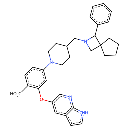 O=C(O)c1ccc(N2CCC(CN3CC4(CCCC4)C3c3ccccc3)CC2)cc1Oc1cnc2[nH]ccc2c1